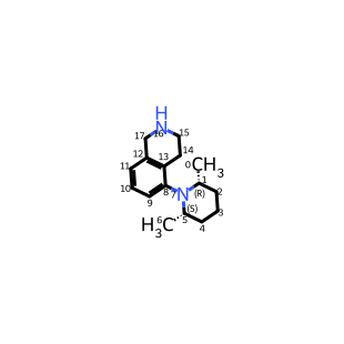 C[C@@H]1CCC[C@H](C)N1c1cccc2c1CCNC2